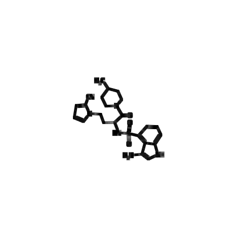 CC1CCN(C(=O)C(CCn2cccc2C#N)NS(=O)(=O)c2cccc3[nH]cc(N)c23)CC1